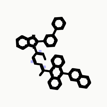 C\C=C(/C=C\C=C(/C)c1c2ccccc2c(-c2ccc3ccccc3c2)c2ccccc12)n1c(-c2cccc(-c3ccccc3)c2)nc2ccccc21